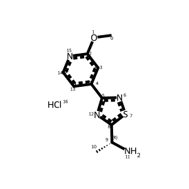 COc1cc(-c2nsc([C@@H](C)N)n2)ccn1.Cl